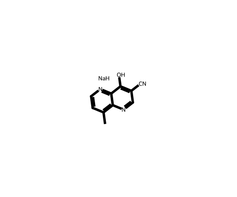 Cc1ccnc2c(O)c(C#N)cnc12.[NaH]